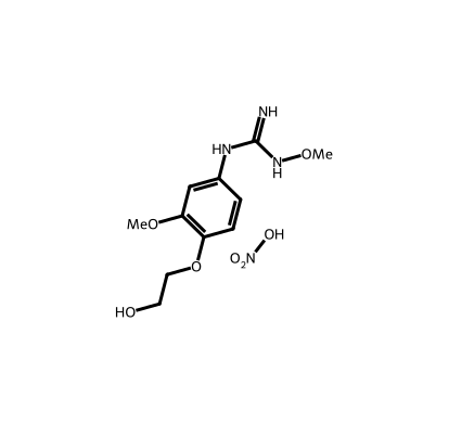 CONC(=N)Nc1ccc(OCCO)c(OC)c1.O=[N+]([O-])O